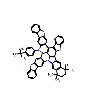 CC(C)(C)c1ccc(N2B3c4cc5sc6ccccc6c5cc4-n4c5cc6c(cc5c5c7sc8ccccc8c7c(c3c54)-c3cc4sc5ccccc5c4cc32)C(C)(C)CCC6(C)C)cc1